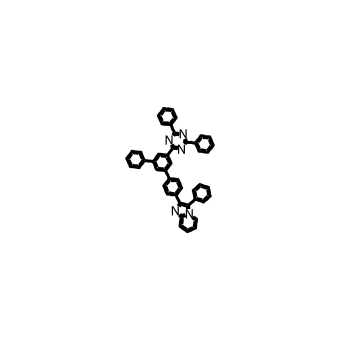 c1ccc(-c2cc(-c3ccc(-c4nc5ccccn5c4-c4ccccc4)cc3)cc(-c3nc(-c4ccccc4)nc(-c4ccccc4)n3)c2)cc1